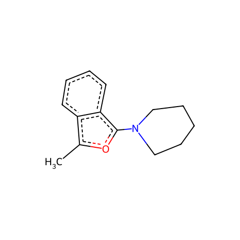 Cc1oc(N2CCCCC2)c2ccccc12